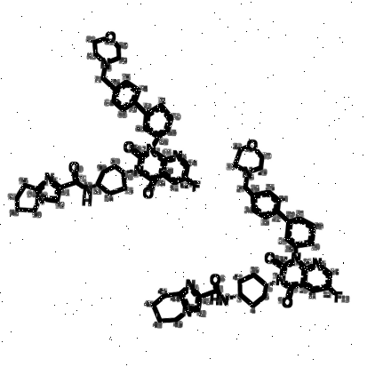 O=C(N[C@H]1CC[C@@H](n2c(=O)c3cc(F)cnc3n(-c3cccc(-c4ccc(CN5CCOCC5)cc4)c3)c2=O)CC1)c1cn2c(n1)CCCC2.O=C(N[C@H]1CC[C@@H](n2c(=O)c3cc(F)cnc3n(-c3cccc(-c4ccc(CN5CCOCC5)cc4)c3)c2=O)CC1)c1cn2c(n1)CCCC2